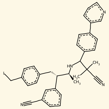 C[C@H](NC(c1ccc(-c2cccnc2)cc1)C(C)(C)C#N)[C@@H](Cc1ccc(CI)cc1)c1cccc(C#N)c1